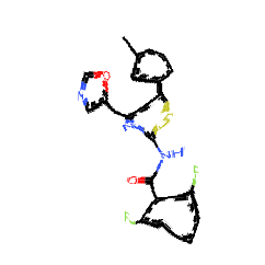 Cc1cccc(-c2sc(NC(=O)c3c(F)cccc3F)nc2-c2cnco2)c1